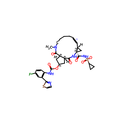 CN1CCCC/C=C\[C@@H]2C[C@@]2(C(=O)NS(=O)(=O)C2CC2)NC(=O)[C@@H]2C[C@@H](OC(=O)Nc3ccc(F)cc3-c3nccs3)C[C@H]2C1=O